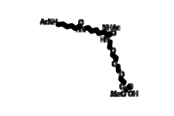 COP(=O)(O)OCCOCCOCCOCCNC(=O)[C@H](CCCCNC(=O)CCCCCNC(C)=O)NC(C)=O